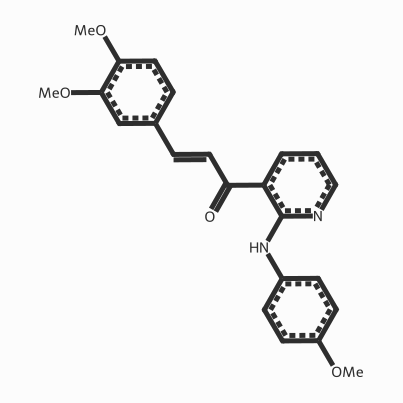 COc1ccc(Nc2ncccc2C(=O)C=Cc2ccc(OC)c(OC)c2)cc1